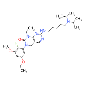 CCOc1cc(OC)c(F)c(N2Cc3cnc(NCCCCCN(C(C)C)C(C)C)nc3N(CC)C2=O)c1